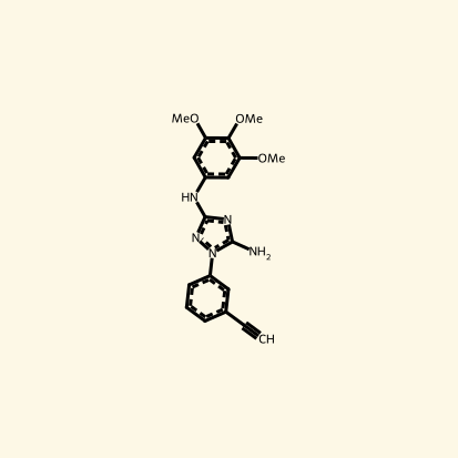 C#Cc1cccc(-n2nc(Nc3cc(OC)c(OC)c(OC)c3)nc2N)c1